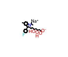 Cc1ccc2c(c1)c(-c1ccc(F)cc1)c(/C=C/[C@@H](O)C[C@@H](O)CC(=O)[O-])n2C(C)C.[Na+]